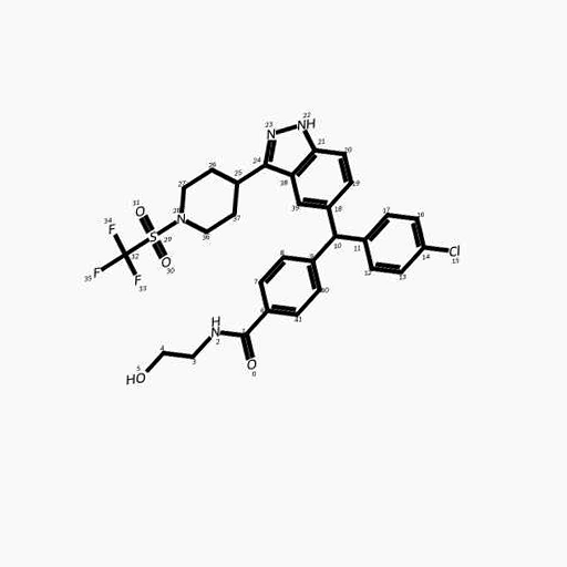 O=C(NCCO)c1ccc(C(c2ccc(Cl)cc2)c2ccc3[nH]nc(C4CCN(S(=O)(=O)C(F)(F)F)CC4)c3c2)cc1